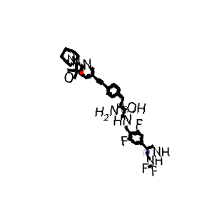 CC1(CN2C3CCC2CN(c2ccc(C#Cc4ccc(C[C@H](N)[C@@H](O)CNCc5c(F)cc(/C(C=N)=C/NC(F)F)cc5F)cc4)cn2)C3)COC1